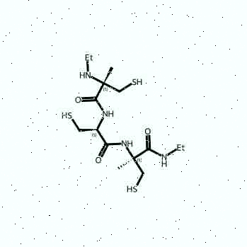 CCNC(=O)[C@@](C)(CS)NC(=O)[C@@H](CS)NC(=O)[C@@](C)(CS)NCC